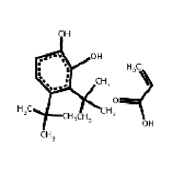 C=CC(=O)O.CC(C)(C)c1ccc(O)c(O)c1C(C)(C)C